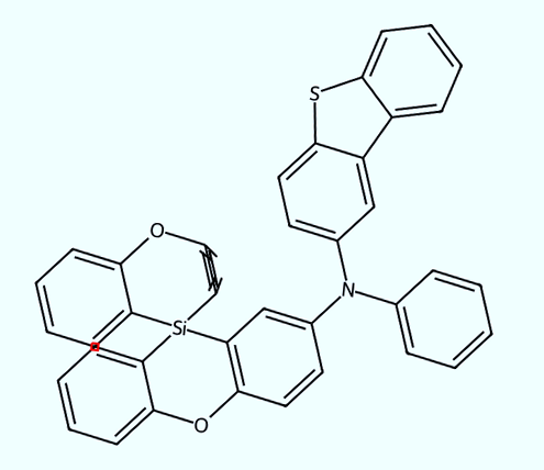 c1ccc(N(c2ccc3c(c2)[Si]2(c4ccccc4Oc4ccccc42)c2ccccc2O3)c2ccc3sc4ccccc4c3c2)cc1